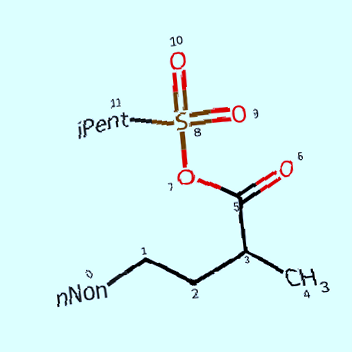 CCCCCCCCCCCC(C)C(=O)OS(=O)(=O)C(C)CCC